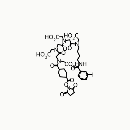 O=C(O)CN(CCCCNC(=O)c1cccc(I)c1)C(=O)CN(CC(=O)O)C(=O)CN(CC(=O)O)C(=O)CN(CC(=O)O)C(=O)C1CCC(C(=O)ON2C(=O)CCC2=O)CC1